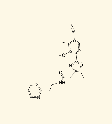 Cc1sc(-c2ncc(C#N)c(C)c2O)nc1CC(=O)NCCc1ccccn1